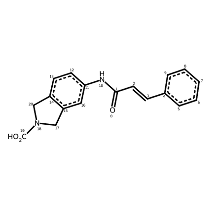 O=C(/C=C/c1ccccc1)Nc1ccc2c(c1)CN(C(=O)O)C2